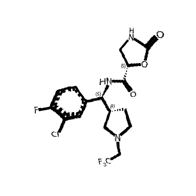 O=C1NC[C@@H](C(=O)N[C@H](c2ccc(F)c(Cl)c2)[C@@H]2CCN(CC(F)(F)F)C2)O1